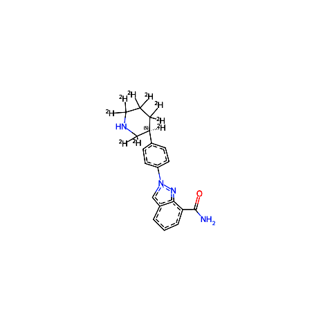 [2H]C1([2H])NC([2H])([2H])[C@]([2H])(c2ccc(-n3cc4cccc(C(N)=O)c4n3)cc2)C([2H])([2H])C1([2H])[2H]